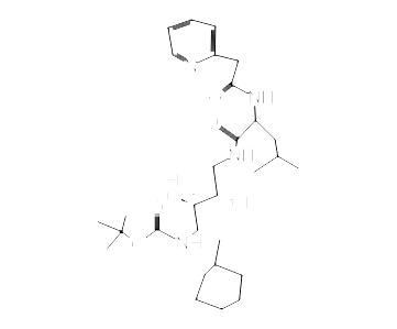 CC(C)CC(NC(=O)Cc1ccccn1)C(=O)NC[C@H](O)[C@H](O)[C@H](CC1CCCCC1)NC(=O)OC(C)(C)C